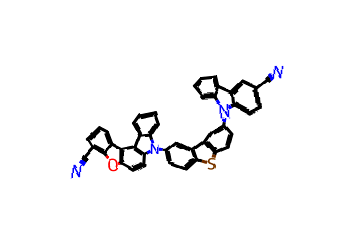 N#Cc1ccc2c(c1)c1ccccc1n2-c1ccc2sc3ccc(-n4c5ccccc5c5c6c(ccc54)oc4c(C#N)cccc46)cc3c2c1